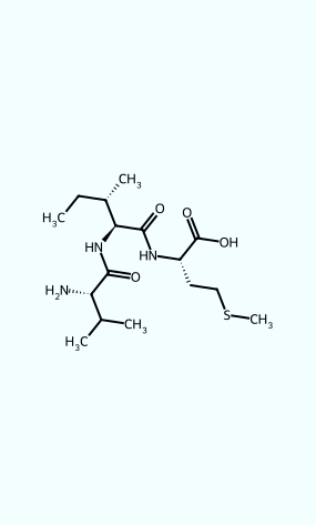 CC[C@H](C)[C@H](NC(=O)[C@@H](N)C(C)C)C(=O)N[C@@H](CCSC)C(=O)O